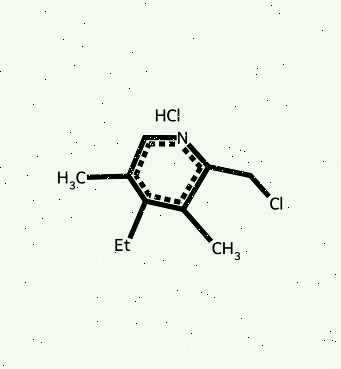 CCc1c(C)cnc(CCl)c1C.Cl